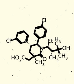 CC[C@@H]([C@@H](C)C(C)(C)O)N1C(=O)[C@@](C)(CC(=O)O)C[C@H](c2cccc(Cl)c2)C1c1ccc(Cl)cc1